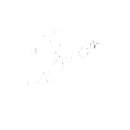 CC(=O)OCC1=C(C(=O)OCc2ccc([N+](=O)[O-])cc2)N2C(=O)[C@@H](C3(C)COC(=O)O3)C2C1